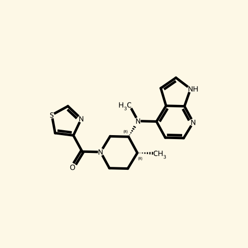 C[C@@H]1CCN(C(=O)c2cscn2)C[C@@H]1N(C)c1ccnc2[nH]ccc12